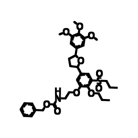 CCCOc1c(OCCNC(=O)OCc2ccccc2)cc(C2CCC(c3cc(OC)c(OC)c(OC)c3)O2)cc1S(=O)(=O)CCC